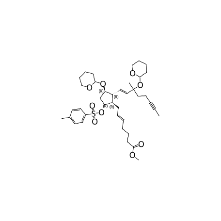 CC#CCCC(C)(C=C[C@@H]1[C@@H](CC=CCCCC(=O)OC)[C@H](OS(=O)(=O)c2ccc(C)cc2)C[C@H]1OC1CCCCO1)OC1CCCCO1